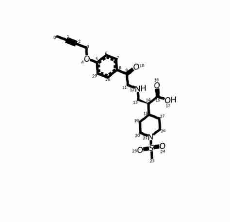 CC#CCOc1ccc(C(=O)CNC[C@@H](C(=O)O)C2CCN(S(C)(=O)=O)CC2)cc1